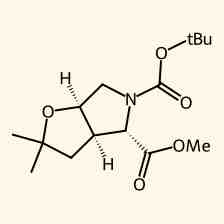 COC(=O)[C@@H]1[C@H]2CC(C)(C)O[C@H]2CN1C(=O)OC(C)(C)C